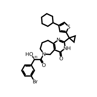 O=C([C@H](O)c1cccc(Br)c1)N1CCCc2nc(C3(c4cc(C5CCCCC5)cs4)CC3)[nH]c(=O)c2C1